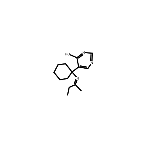 C[CH]C(C)=NC1(c2cncnc2O)CCCCC1